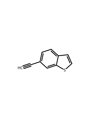 C#Cc1ccc2ccsc2c1